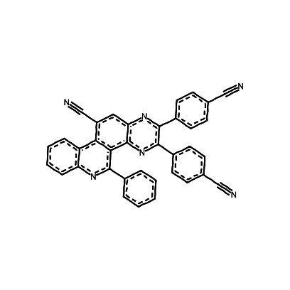 N#Cc1ccc(-c2nc3cc(C#N)c4c5ccccc5nc(-c5ccccc5)c4c3nc2-c2ccc(C#N)cc2)cc1